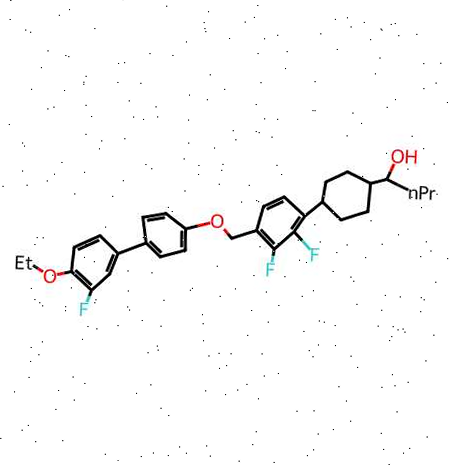 CCCC(O)C1CCC(c2ccc(COc3ccc(-c4ccc(OCC)c(F)c4)cc3)c(F)c2F)CC1